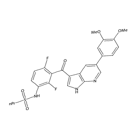 CCCS(=O)(=O)Nc1ccc(F)c(C(=O)c2c[nH]c3ncc(-c4ccc(OC)c(OC)c4)cc23)c1F